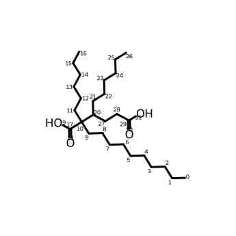 CCCCCCCCCCC(CCCCCC)(C(=O)O)C(CCCCCC)CCC(=O)O